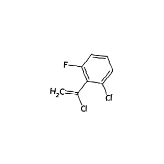 C=C(Cl)c1c(F)cccc1Cl